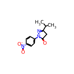 CC(C)C1=NN(c2ccc([N+](=O)[O-])cc2)C(=O)C1